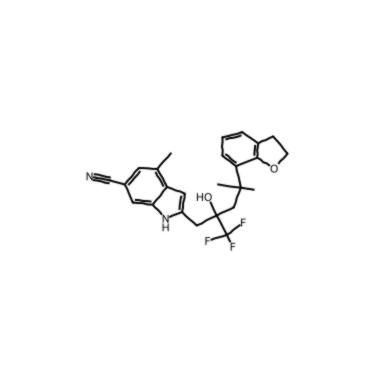 Cc1cc(C#N)cc2[nH]c(CC(O)(CC(C)(C)c3cccc4c3OCC4)C(F)(F)F)cc12